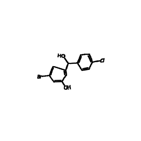 Oc1cc(Br)cc(C(O)c2ccc(Cl)cc2)c1